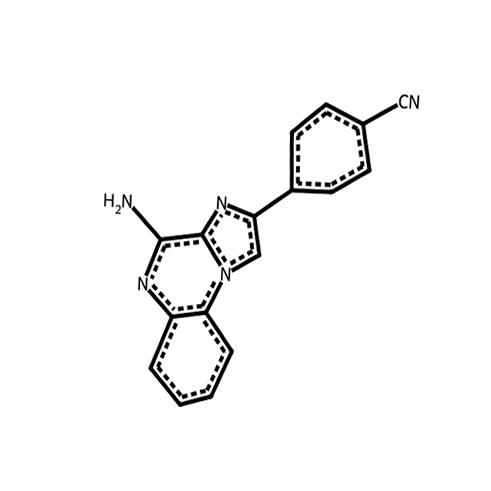 N#Cc1ccc(-c2cn3c(n2)c(N)nc2ccccc23)cc1